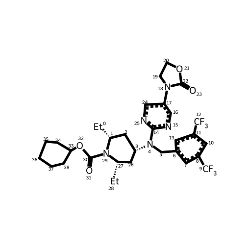 CC[C@@H]1C[C@H](N(Cc2cc(C(F)(F)F)cc(C(F)(F)F)c2)c2ncc(N3CCOC3=O)cn2)C[C@H](CC)N1C(=O)OC1CCCCC1